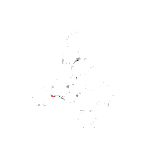 c1ccc(-c2nc(-c3ccccc3)nc(-c3cccc4sc5cccc(-c6nc(-c7ccc8ccccc8c7)c7ccccc7n6)c5c34)n2)cc1